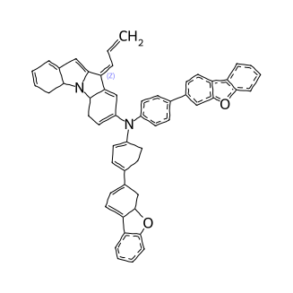 C=C/C=C1/C2=CC(N(C3=CC=C(C4=CC=C5c6ccccc6OC5C4)CC3)c3ccc(-c4ccc5c(c4)oc4ccccc45)cc3)=CCC2N2C1=CC1=CC=CCC12